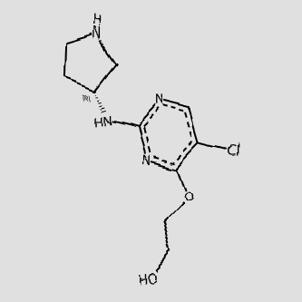 OCCOc1nc(N[C@@H]2CCNC2)ncc1Cl